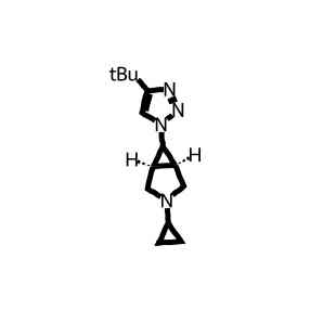 CC(C)(C)c1cn(C2[C@H]3CN(C4CC4)C[C@@H]23)nn1